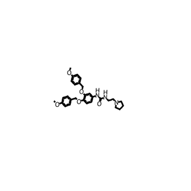 COc1ccc(COc2ccc(NC(=O)NCCN3CCCC3)cc2OCc2ccc(OC)cc2)cc1